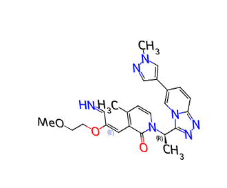 COCCO/C(C=N)=C/c1c(C)ccn([C@H](C)c2nnc3ccc(-c4cnn(C)c4)cn23)c1=O